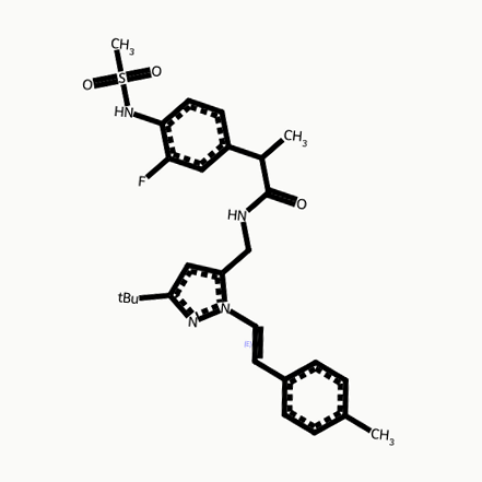 Cc1ccc(/C=C/n2nc(C(C)(C)C)cc2CNC(=O)C(C)c2ccc(NS(C)(=O)=O)c(F)c2)cc1